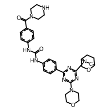 O=C(Nc1ccc(C(=O)N2CCNCC2)cc1)Nc1ccc(-c2nc(N3CCOCC3)nc(N3CC4CCC3CO4)n2)cc1